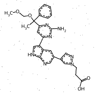 COCOC(C)(c1ccccc1)c1cc(-c2c[nH]c3ncc(-c4cnn(CCC(=O)O)c4)cc23)nc(N)n1